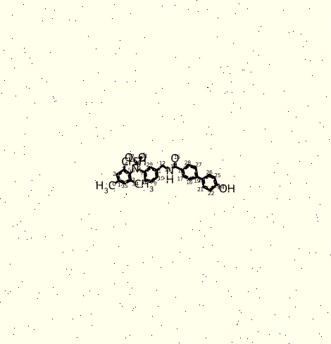 Cc1cc(C)c(N(c2cccc(CNC(=O)c3ccc(-c4ccc(O)cc4)cc3)c2)[SH](=O)=O)c(C)c1